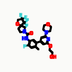 Cc1cc(F)c(NC(=O)N2CCC3(C2)OCC(F)(F)C3(F)F)cc1-c1cc(OCCO)nc(N2CCOCC2)c1